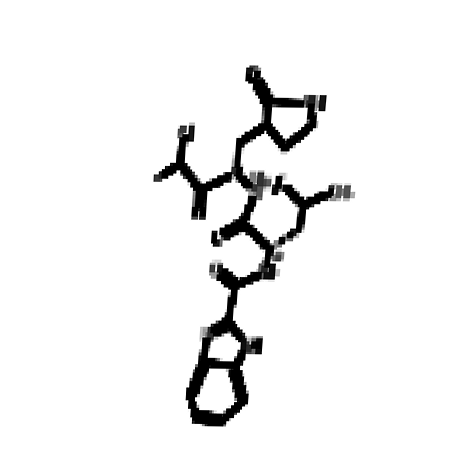 CC(C)C[C@H](NC(=O)c1nc2ccccc2[nH]1)C(=O)NN(CC1CCNC1=O)C(=O)C(F)Cl